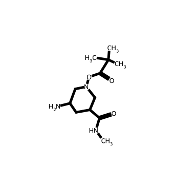 CNC(=O)C1CC(N)CN(OC(=O)C(C)(C)C)C1